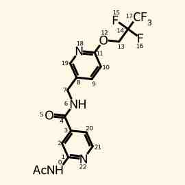 CC(=O)Nc1cc(C(=O)NCc2ccc(OCC(F)(F)C(F)(F)F)nc2)ccn1